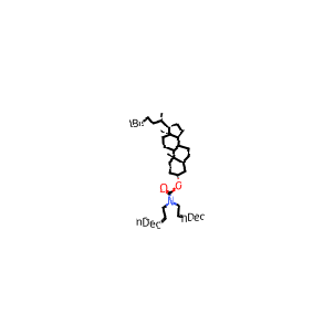 CCCCCCCCCCCCN(CCCCCCCCCCCC)C(=O)O[C@@H]1CC[C@@]2(C)C(CCC3C2CC[C@@]2(C)C3CC[C@@H]2[C@H](C)CCC(C)(C)C)C1